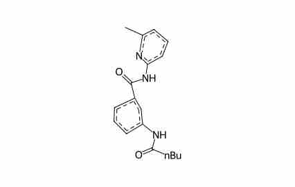 CCCCC(=O)Nc1cccc(C(=O)Nc2cccc(C)n2)c1